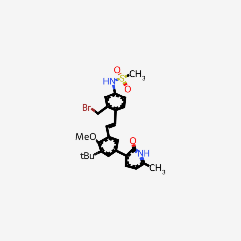 COc1c(C=Cc2ccc(NS(C)(=O)=O)cc2CBr)cc(-c2ccc(C)[nH]c2=O)cc1C(C)(C)C